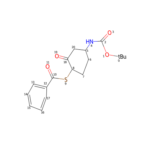 CC(C)(C)OC(=O)NC1CCC(SC(=O)c2ccccc2)C(=O)C1